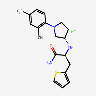 Cl.N#Cc1cc(C(F)(F)F)ccc1N1CC[C@H](N[C@@H](Cc2cccs2)C(N)=O)C1